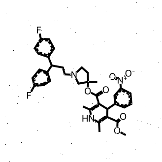 COC(=O)C1=C(C)NC(C)=C(C(=O)OC2(C)CCN(CCC(c3ccc(F)cc3)c3ccc(F)cc3)C2)C1c1cccc([N+](=O)[O-])c1